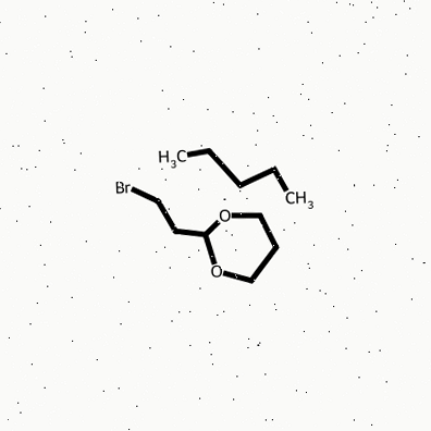 BrCCC1OCCCO1.CCCCC